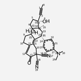 CC#C[C@]1(O)CC[C@H]2[C@@H]3CCC4=CC(=O)C(C#N)(C#N)CC4=C3[C@@H](c3ccc(N(C)C)cc3)C[C@@]21C